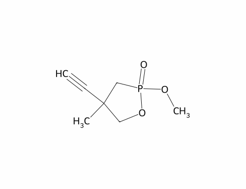 C#CC1(C)COP(=O)(OC)C1